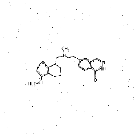 COc1cccc2c1CCCC2CN(C)CCc1ccc2c(=O)[nH]ncc2c1